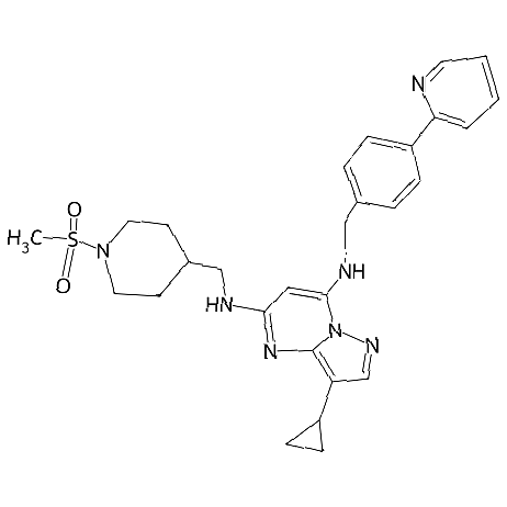 CS(=O)(=O)N1CCC(CNc2cc(NCc3ccc(-c4ccccn4)cc3)n3ncc(C4CC4)c3n2)CC1